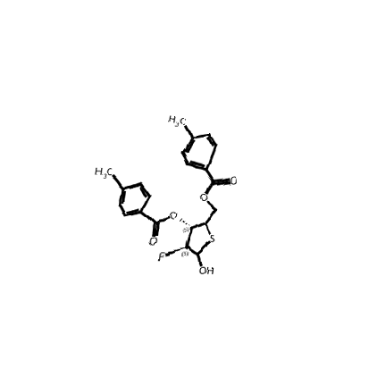 Cc1ccc(C(=O)OCC2SC(O)[C@@H](F)[C@@H]2OC(=O)c2ccc(C)cc2)cc1